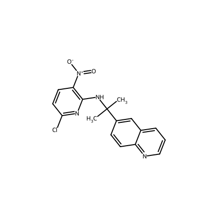 CC(C)(Nc1nc(Cl)ccc1[N+](=O)[O-])c1ccc2ncccc2c1